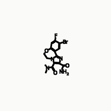 CN(C)C(=O)c1c(C(N)=O)nc2n1CCOc1cc(F)c(Br)cc1-2